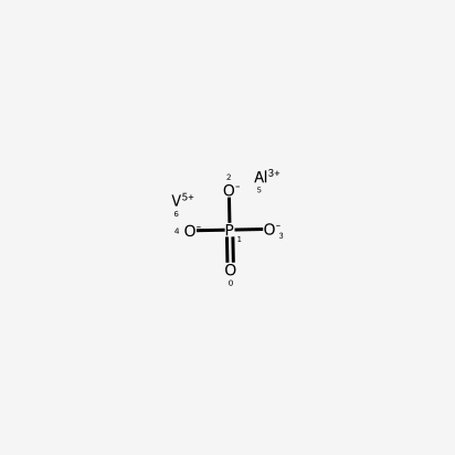 O=P([O-])([O-])[O-].[Al+3].[V+5]